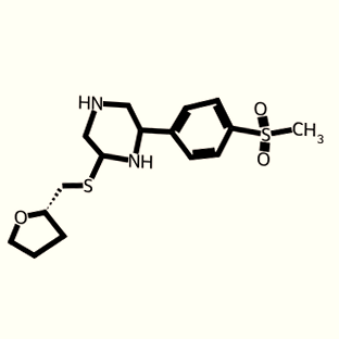 CS(=O)(=O)c1ccc(C2CNCC(SC[C@@H]3CCCO3)N2)cc1